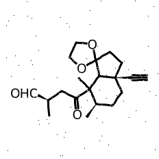 C#C[C@@]12CC[C@@H](C)C(C)(C(=O)C[C@@H](C)C=O)C1C1(CC2)OCCO1